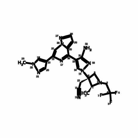 C[C@H]1N(CC(F)(F)F)C[C@]1(CC#N)n1cc(-c2nc(-c3cnn(C)c3)cn3nccc23)c(N)n1